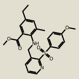 CCc1cc(C)c(NCc2cccnc2S(=O)(=O)c2ccc(OC)cc2)c(C(=O)OC)c1